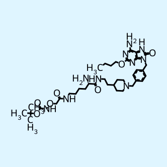 CCCCOc1nc(N)c2[nH]c(=O)n(Cc3ccc(CN4CCC(CCNC(=O)[C@@H](N)CCCCNC(=O)CONC(=O)OC(C)(C)C)CC4)cc3)c2n1